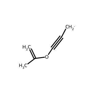 [CH2]C#COC(=C)C